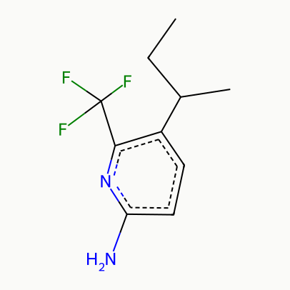 CCC(C)c1ccc(N)nc1C(F)(F)F